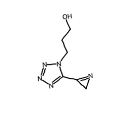 OCCCn1nnnc1C1=NC1